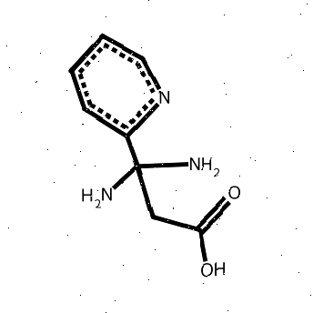 NC(N)(CC(=O)O)c1ccccn1